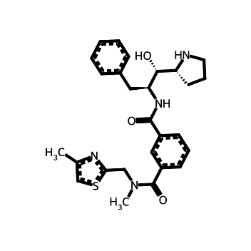 Cc1csc(CN(C)C(=O)c2cccc(C(=O)N[C@@H](Cc3ccccc3)[C@H](O)[C@H]3CCCN3)c2)n1